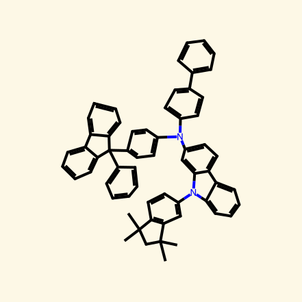 CC1(C)CC(C)(C)c2cc(-n3c4ccccc4c4ccc(N(c5ccc(-c6ccccc6)cc5)c5ccc(C6(c7ccccc7)c7ccccc7-c7ccccc76)cc5)cc43)ccc21